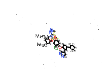 COc1ccc(CN(c2nncs2)S(=O)(=O)c2cc(Cl)c(Oc3ccc(-c4ccccc4)cc3-c3ccnnc3)cc2F)c(OC)c1